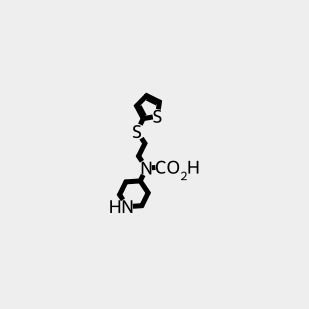 O=C(O)N(CCSc1cccs1)C1CCNCC1